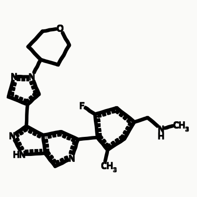 CNCc1cc(C)c(-c2cc3c(-c4cnn(C5CCOCC5)c4)n[nH]c3cn2)c(F)c1